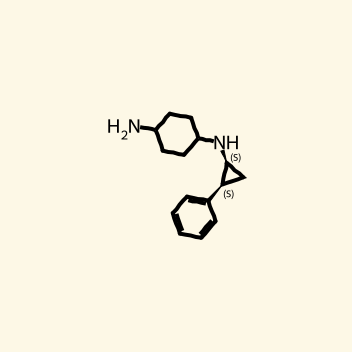 NC1CCC(N[C@H]2C[C@H]2c2ccccc2)CC1